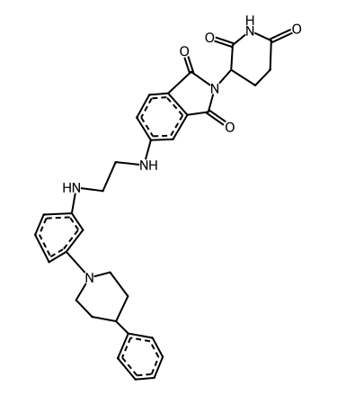 O=C1CCC(N2C(=O)c3ccc(NCCNc4cccc(N5CCC(c6ccccc6)CC5)c4)cc3C2=O)C(=O)N1